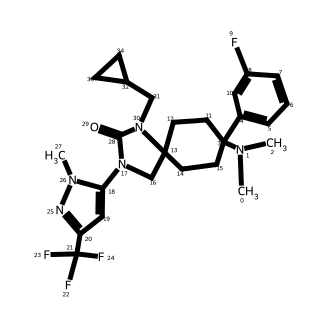 CN(C)C1(c2cccc(F)c2)CCC2(CC1)CN(c1cc(C(F)(F)F)nn1C)C(=O)N2CC1CC1